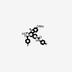 COc1ccc2c3c(n(C)c2c1)[C@@H](CO)N(C(=O)c1ccc(F)cc1)CC31CCN(C(=O)Nc2ccc(F)cc2)CC1